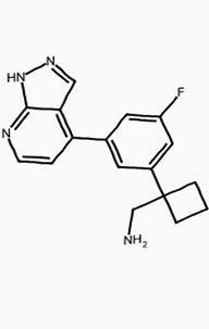 NCC1(c2cc(F)cc(-c3ccnc4[nH]ncc34)c2)CCC1